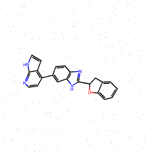 c1ccc2c(c1)CC(c1nc3ccc(-c4ccnc5[nH]ccc45)cc3[nH]1)O2